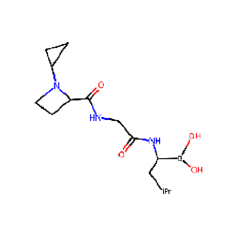 CC(C)CC(NC(=O)CNC(=O)C1CCN1C1CC1)B(O)O